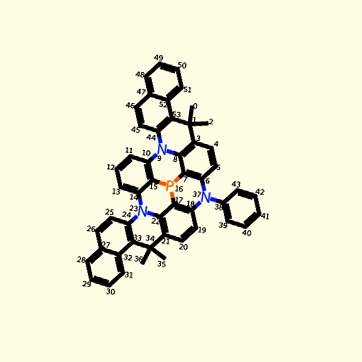 CC1(C)c2ccc3c4c2N(c2cccc5c2P4c2c(ccc4c2N5c2ccc5ccccc5c2C4(C)C)N3c2ccccc2)c2ccc3ccccc3c21